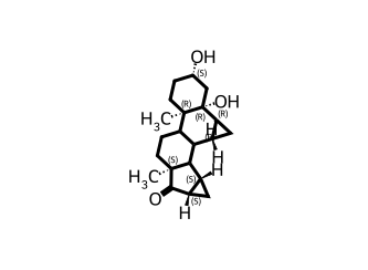 C[C@]12CCC3C(C1[C@@H]1C[C@@H]1C2=O)[C@H]1C[C@H]1[C@]1(O)C[C@@H](O)CC[C@]31C